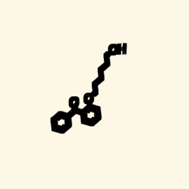 O=C(c1ccccc1)c1ccccc1OCCCCCCO